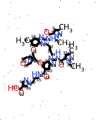 CCn1nc(C)cc1C(=O)Nc1nc2cc(C)cc3c2n1C/C=C/Cn1c(NC(=O)c2cc(C)nn2CC)nc2cc(C(=O)NCCCn4cc(C(=O)O)cn4)cc(c21)OCC(N1C2CCC1COC2)CO3